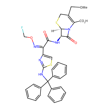 COCC1=C(C(=O)O)N2C(=O)[C@@H](NC(=O)/C(=N\OCF)c3csc(NC(c4ccccc4)(c4ccccc4)c4ccccc4)n3)[C@H]2SC1